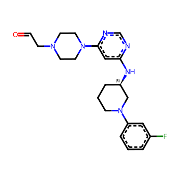 O=CCN1CCN(c2cc(N[C@@H]3CCCN(c4cccc(F)c4)C3)ncn2)CC1